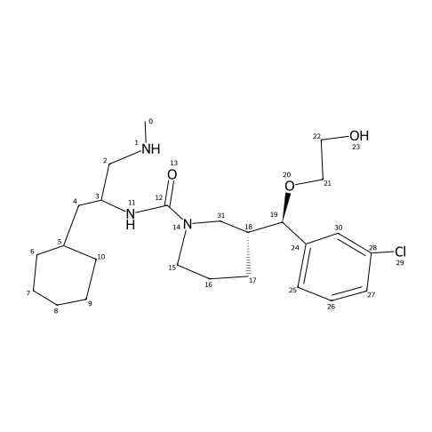 CNCC(CC1CCCCC1)NC(=O)N1CCC[C@@H]([C@@H](OCCO)c2cccc(Cl)c2)C1